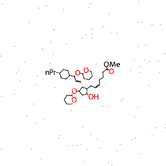 CCCC1CCC([C@H](/C=C/[C@@H]2[C@@H](C/C=C\CCCC(=O)OC)[C@@H](O)C[C@H]2OC2CCCCO2)OC2CCCCO2)CC1